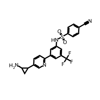 N#Cc1ccc(S(=O)(=O)Nc2cc(-c3ccc(C4CC4N)cn3)cc(C(F)(F)F)c2)cc1